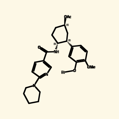 CCOc1cc([C@H]2C[C@H](OC(C)=O)CC[C@H]2NC(=O)c2ccc(N3CCCCC3)nc2)ccc1OC